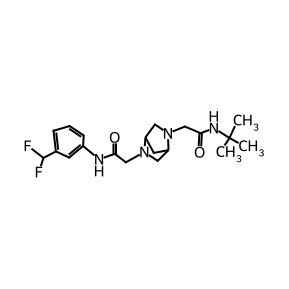 CC(C)(C)NC(=O)CN1CC2CC1CN2CC(=O)Nc1cccc(C(F)F)c1